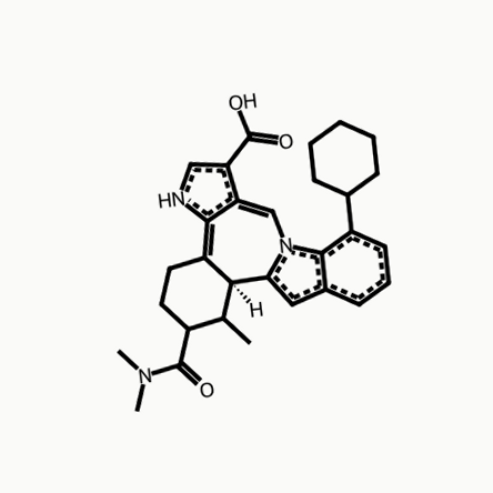 CC1C(C(=O)N(C)C)CCC2=c3[nH]cc(C(=O)O)c3=Cn3c(cc4cccc(C5CCCCC5)c43)[C@H]21